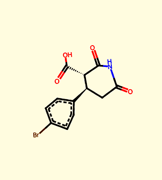 O=C1C[C@@H](c2ccc(Br)cc2)[C@H](C(=O)O)C(=O)N1